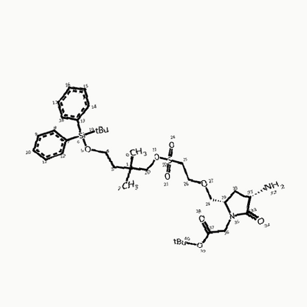 CC(C)(CCO[Si](c1ccccc1)(c1ccccc1)C(C)(C)C)COS(=O)(=O)CCOC[C@@H]1C[C@H](N)C(=O)N1CC(=O)OC(C)(C)C